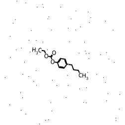 CCCCc1ccc(OC(=O)OCC)cc1